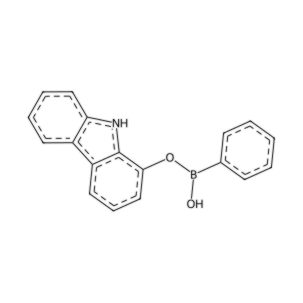 OB(Oc1cccc2c1[nH]c1ccccc12)c1ccccc1